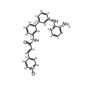 Nc1cccnc1Nc1cccc(-c2cccc(NC(=O)/C=C/c3cc[n+]([O-])cc3)c2)c1